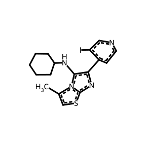 Cc1csc2nc(-c3ccncc3I)c(NC3CCCCC3)n12